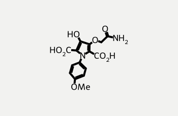 COc1ccc(-n2c(C(=O)O)c(O)c(OCC(N)=O)c2C(=O)O)cc1